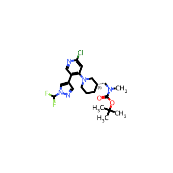 CN(C[C@@H]1CCCN(c2cc(Cl)ncc2-c2cnn(C(F)F)c2)C1)C(=O)OC(C)(C)C